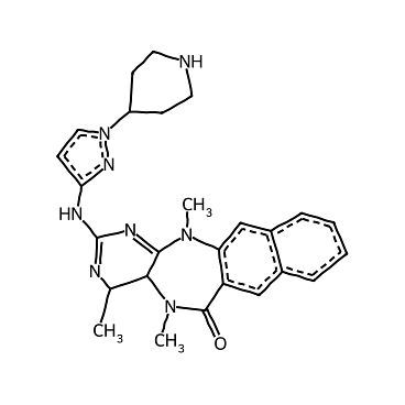 CC1N=C(Nc2ccn(C3CCNCC3)n2)N=C2C1N(C)C(=O)c1cc3ccccc3cc1N2C